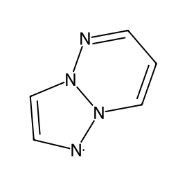 C1=CN2[N]C=CN2N=C1